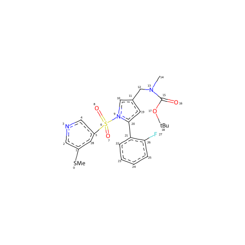 CSc1cncc(S(=O)(=O)n2cc(CN(C)C(=O)OC(C)(C)C)cc2-c2ccccc2F)c1